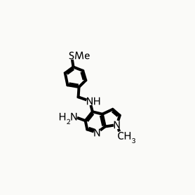 CSc1ccc(CNc2c(N)cnc3c2ccn3C)cc1